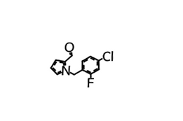 O=Cc1cccn1Cc1ccc(Cl)cc1F